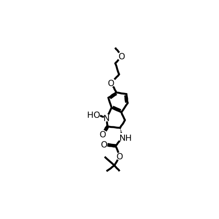 COCCOc1ccc2c(c1)N(O)C(=O)[C@@H](NC(=O)OC(C)(C)C)C2